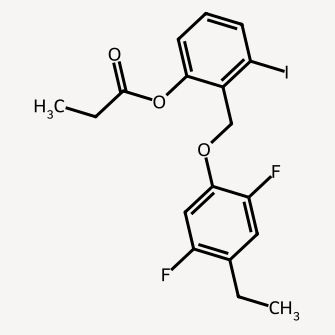 CCC(=O)Oc1cccc(I)c1COc1cc(F)c(CC)cc1F